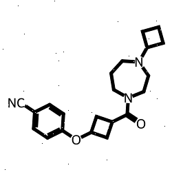 N#Cc1ccc(OC2CC(C(=O)N3CCCN(C4CCC4)CC3)C2)cc1